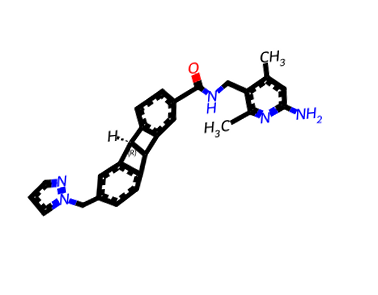 Cc1cc(N)nc(C)c1CNC(=O)c1ccc2c(c1)C1c3ccc(Cn4cccn4)cc3[C@@H]21